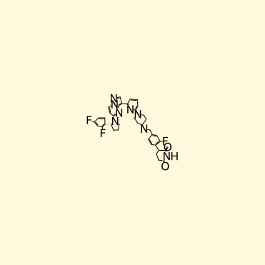 CN(Cc1ccc(C2CCC(=O)NC2=O)c(F)c1)C1CCN(c2cccc(-c3cnn4ccc(N5CCC[C@@H]5c5ccc(F)cc5F)nc34)n2)CC1